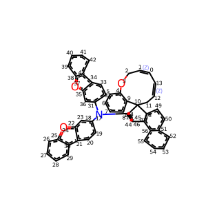 C1=C\COc2ccccc2C2(C\C=C/1)c1cc(N(c3ccc4c(c3)oc3ccccc34)c3ccc4c(c3)oc3ccccc34)ccc1-c1c2ccc2ccccc12